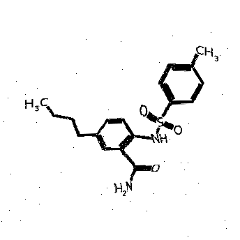 CCCCc1ccc(NS(=O)(=O)c2ccc(C)cc2)c(C(N)=O)c1